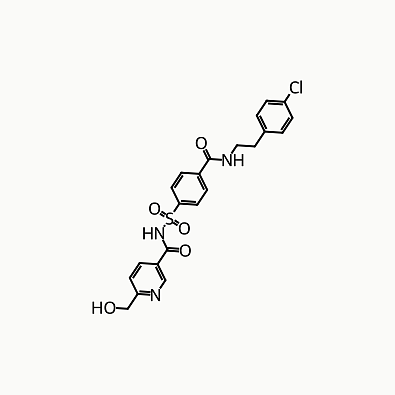 O=C(NCCc1ccc(Cl)cc1)c1ccc(S(=O)(=O)NC(=O)c2ccc(CO)nc2)cc1